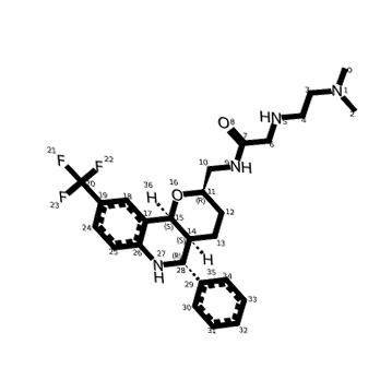 CN(C)CCNCC(=O)NC[C@H]1CC[C@@H]2[C@H](O1)c1cc(C(F)(F)F)ccc1N[C@H]2c1ccccc1